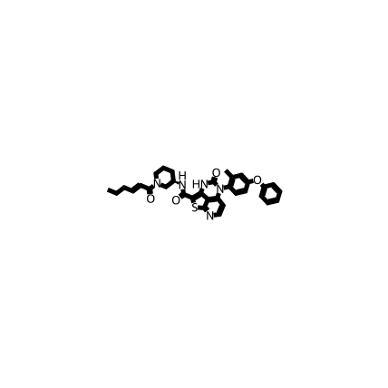 CCC/C=C/C(=O)N1CCC[C@@H](NC(=O)c2sc3nccc4c3c2NC(=O)N4c2ccc(Oc3ccccc3)cc2C)C1